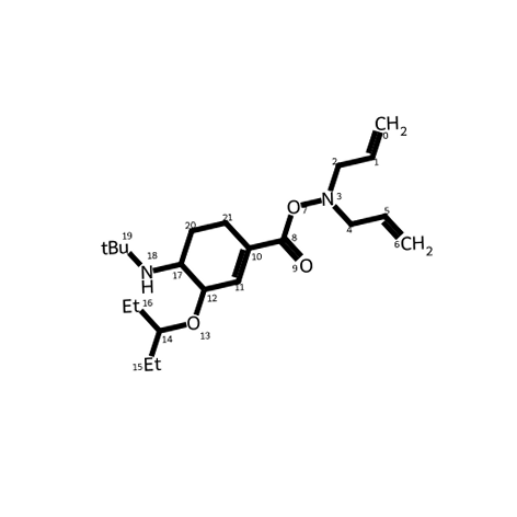 C=CCN(CC=C)OC(=O)C1=CC(OC(CC)CC)C(NC(C)(C)C)CC1